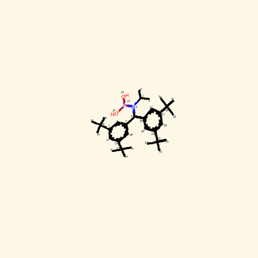 CC(C)N(C(c1cc(C(C)(C)C)cc(C(C)(C)C)c1)c1cc(C(C)(C)C)cc(C(C)(C)C)c1)P(O)O